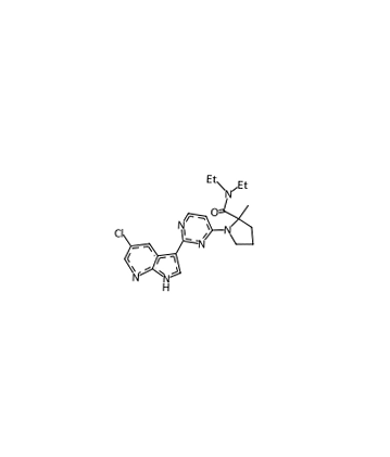 CCN(CC)C(=O)C1(C)CCCN1c1ccnc(-c2c[nH]c3ncc(Cl)cc23)n1